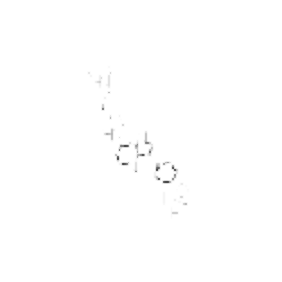 CCN(CC)CCN1CCN(c2ccnc3c(-c4ccc(OC(F)(F)F)cc4)cnn23)CC1